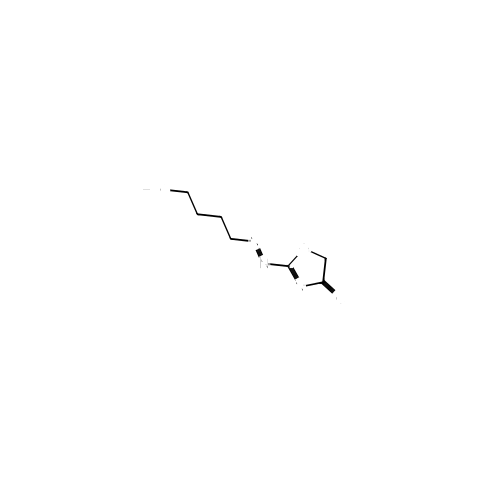 CCCCCN=NC1=NC(=O)CO1